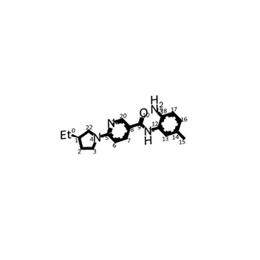 CC[C@@H]1CCN(c2ccc(C(=O)Nc3cc(C)ccc3N)cn2)C1